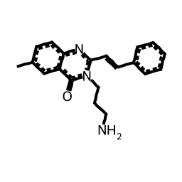 Cc1ccc2nc(/C=C/c3ccccc3)n(CCCN)c(=O)c2c1